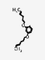 CC=CCCCOc1[c]ccc(OCCCC=CC)c1